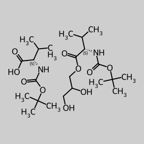 CC(C)[C@H](NC(=O)OC(C)(C)C)C(=O)O.CC(C)[C@H](NC(=O)OC(C)(C)C)C(=O)OCC(O)CO